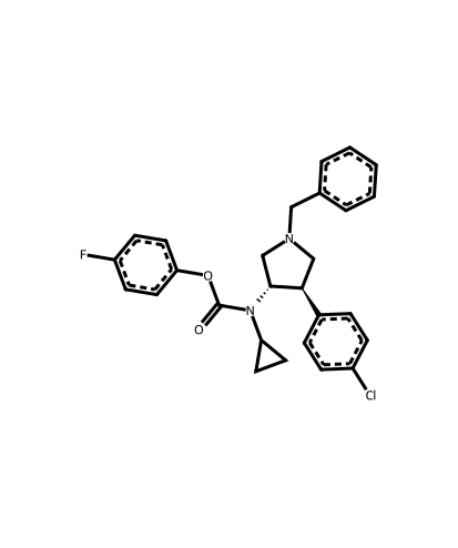 O=C(Oc1ccc(F)cc1)N(C1CC1)[C@@H]1CN(Cc2ccccc2)C[C@H]1c1ccc(Cl)cc1